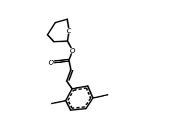 Cc1ccc(C)c(C=CC(=O)OC2CCCCC2)c1